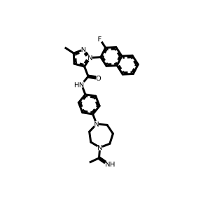 CC(=N)N1CCCN(c2ccc(NC(=O)c3cc(C)nn3-c3cc4ccccc4cc3F)cc2)CC1